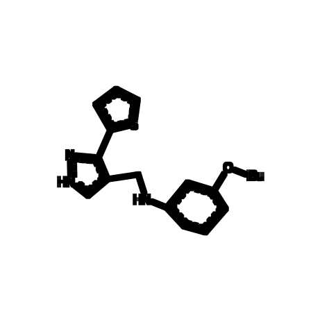 CCC(C)Oc1cccc(NCc2c[nH]nc2-c2cccs2)c1